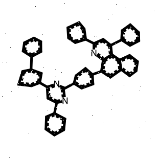 c1ccc(-c2cccc(-c3cc(-c4ccccc4)nc(-c4ccc(-c5cc6ccccc6c6c(-c7ccccc7)cc(-c7ccccc7)nc56)cc4)n3)c2)cc1